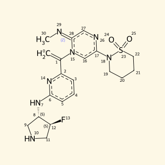 C=C(c1cccc(N[C@H]2CNC[C@@H]2F)n1)n1cc(N2CCCCS2(=O)=O)nc/c1=N/C